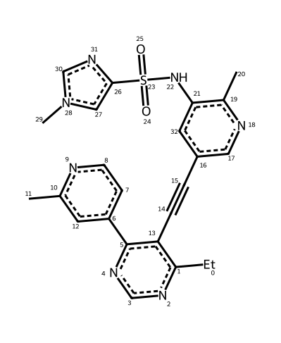 CCc1ncnc(-c2ccnc(C)c2)c1C#Cc1cnc(C)c(NS(=O)(=O)c2cn(C)cn2)c1